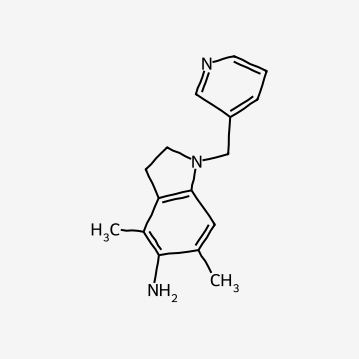 Cc1cc2c(c(C)c1N)CCN2Cc1cccnc1